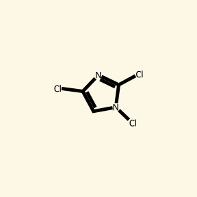 Clc1cn(Cl)c(Cl)n1